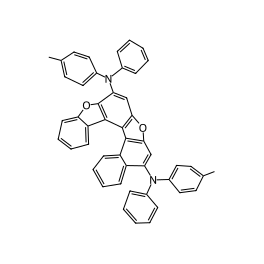 Cc1ccc(N(c2ccccc2)c2cc3oc4cc(N(c5ccccc5)c5ccc(C)cc5)c5oc6ccccc6c5c4c3c3ccccc23)cc1